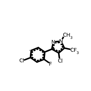 Cn1nc(-c2c[c]c(Cl)cc2F)c(Cl)c1C(F)(F)F